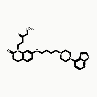 CCCCCCCCCCCC(=O)CCN1C(=O)CCc2ccc(OCCCCN3CCN(c4cccc5sccc45)CC3)cc21